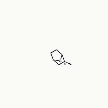 C[C@H]1CC2CCC1O2